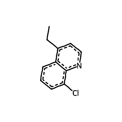 CCc1ccnc2c(Cl)cccc12